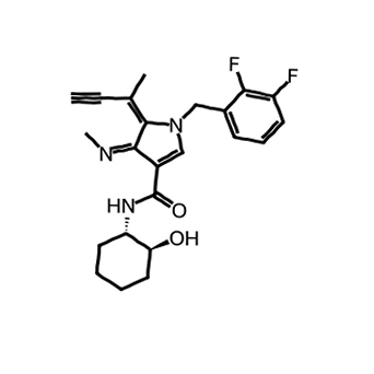 C#C/C(C)=C1\C(=N/C)C(C(=O)N[C@H]2CCCC[C@@H]2O)=CN1Cc1cccc(F)c1F